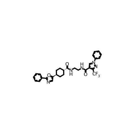 O=C(NCCNC(=O)[C@H]1CC[C@H](c2cnc(-c3ccccc3)o2)CC1)c1cn(-c2ccccc2)nc1C(F)(F)F